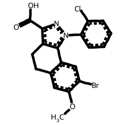 COc1cc2c(cc1Br)-c1c(c(C(=O)O)nn1-c1ccccc1Cl)CC2